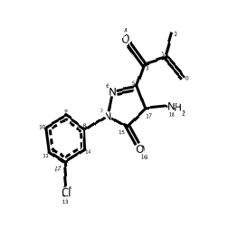 C=C(C)C(=O)C1=NN(c2cccc(Cl)c2)C(=O)C1N